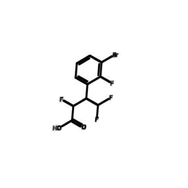 O=C(O)C(F)C(c1cccc(Br)c1F)C(F)F